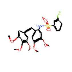 COc1cc(/C=C\c2cc(OC)c(OC)c(OC)c2)c(NS(=O)(=O)c2cccc(F)c2)cc1OC